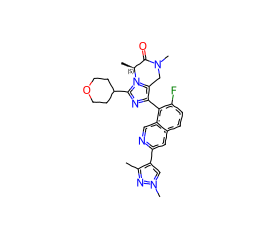 Cc1nn(C)cc1-c1cc2ccc(F)c(-c3nc(C4CCOCC4)n4c3CN(C)C(=O)[C@@H]4C)c2cn1